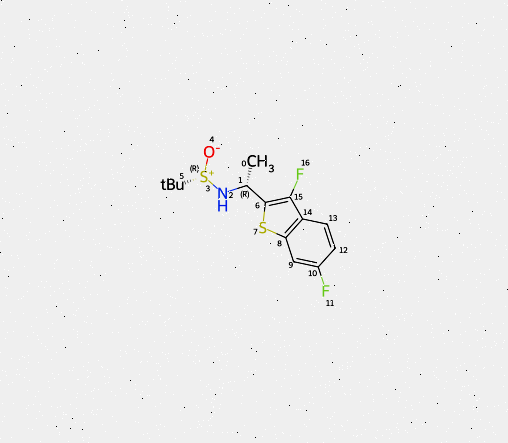 C[C@@H](N[S@@+]([O-])C(C)(C)C)c1sc2cc(F)ccc2c1F